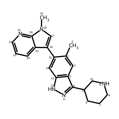 Cc1cc2c(C3CCCNC3)n[nH]c2cc1-c1cn(C)c2ncccc12